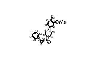 COc1cc(N2CCN(C(=O)[C@@H]3C[C@@H]3c3ccccc3)CC2)ccc1Br